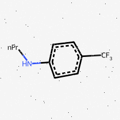 CCCNc1[c]cc(C(F)(F)F)cc1